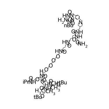 CCCCOc1nc(N)c2[nH]c(=O)n(Cc3ccc(CN4CCC(CCNC(=O)[C@H](CCCCNC(=O)CCCC(=O)NCCOCCOCCOCCOCCC(=O)NC(COCCC(=O)NC(C)C)(COCCC(=O)NC(C)(C)CCOC(C)(C)C)COCCC(=O)NC(C)(C)CCOC(C)(C)C)NC(=O)CON)CC4)cc3)c2n1